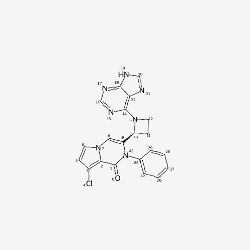 O=c1c2c(Cl)ccn2cc([C@@H]2CCN2c2ncnc3[nH]cnc23)n1-c1ccccc1